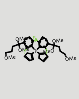 COCCCC(OC)(OC)c1ccc(F)[c]([Ti]([C]2=CC=CC2)([C]2=CC=CC2)[c]2c(F)ccc(C(CCCOC)(OC)OC)c2F)c1F